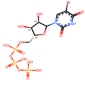 O=c1[nH]c(=O)n(C2O[C@H](COP(=O)(O)OP(=O)(O)OP(=O)(O)O)[C@@H](O)[C@H]2O)cc1Br